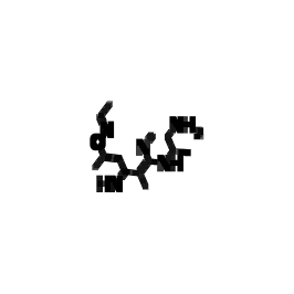 C=N/C(N[C@H](C)CN)=C(/C)C(=N)/C=C(\C)O/N=C/C